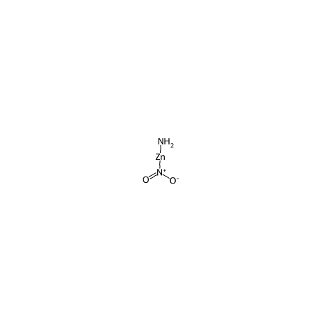 [NH2][Zn][N+](=O)[O-]